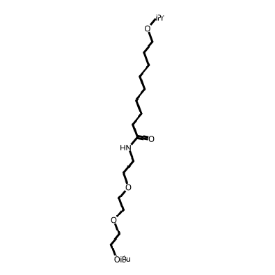 CC(C)COCCOCCOCCNC(=O)CCCCCCCCOC(C)C